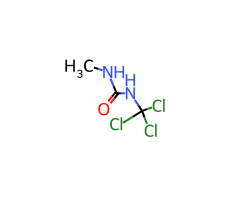 CNC(=O)NC(Cl)(Cl)Cl